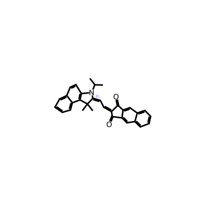 CC(C)N1/C(=C/C=C2C(=O)c3cc4ccccc4cc3C2=O)C(C)(C)c2c1ccc1ccccc21